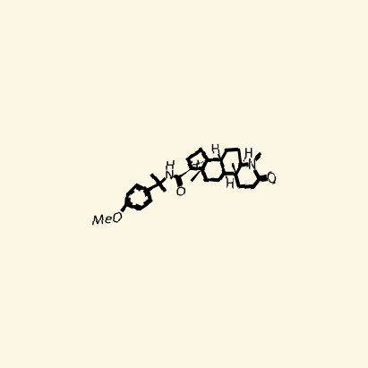 COc1ccc(C(C)(C)NC(=O)[C@H]2CC[C@H]3[C@@H]4CC[C@H]5N(C)C(=O)CC[C@]5(C)[C@H]4CC[C@]23C)cc1